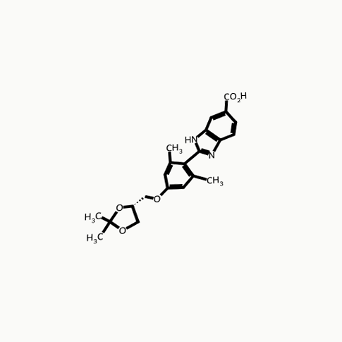 Cc1cc(OC[C@@H]2COC(C)(C)O2)cc(C)c1-c1nc2ccc(C(=O)O)cc2[nH]1